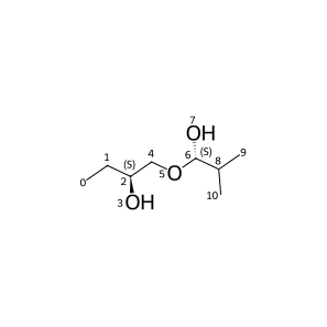 CC[C@H](O)CO[C@H](O)C(C)C